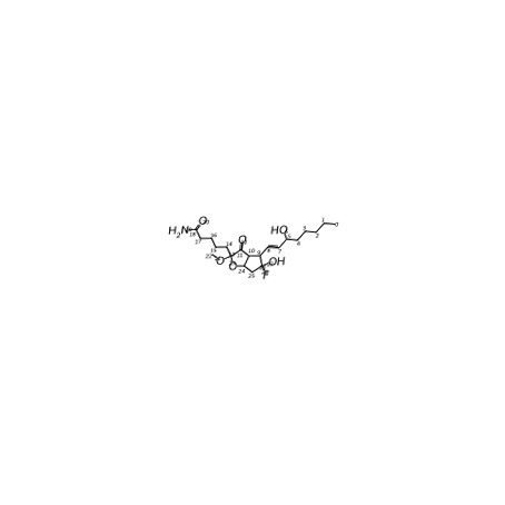 CCCCCC(O)C=CC1C2C(=O)C(CCCCC(N)=O)(OC)OC2CC1(O)F